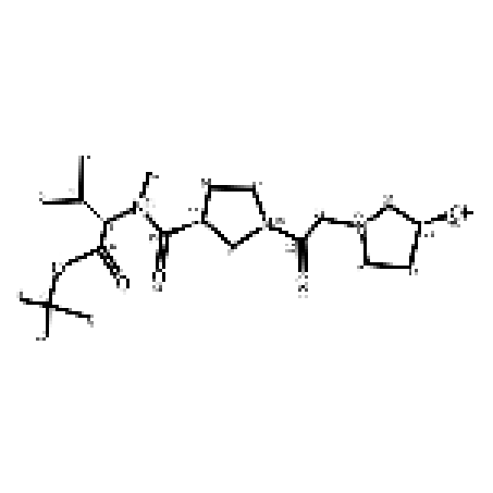 CC(C)[C@@H](C(=O)OC(C)(C)C)N(C)C(=O)[C@H]1CCN(C(=O)CN2CC[C@H](O)C2)C1